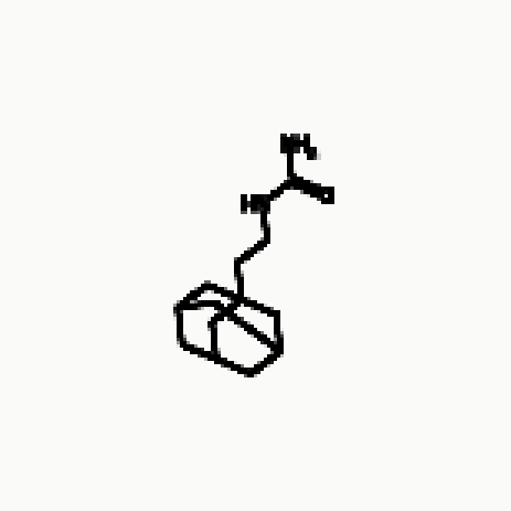 NC(=O)NCCC12CC3CC(CC(C3)C1)C2